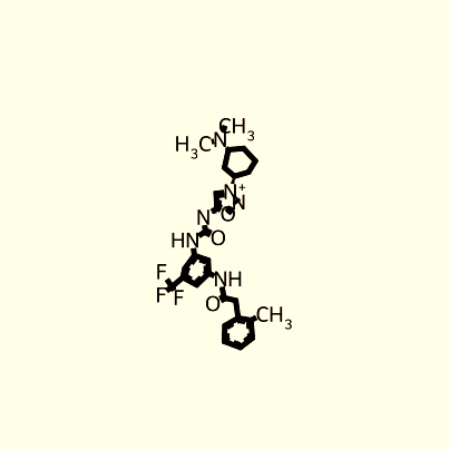 Cc1ccccc1CC(=O)Nc1cc(NC(=O)[N-]c2c[n+]([C@@H]3CCC[C@H](N(C)C)C3)no2)cc(C(F)(F)F)c1